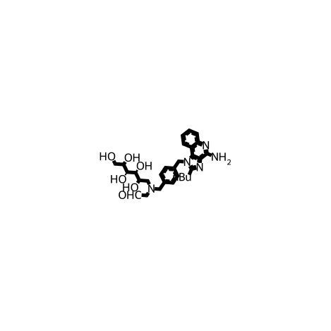 CCCCc1nc2c(N)nc3ccccc3c2n1Cc1ccc(CN(CC=O)CC(O)[C@H](O)[C@H](O)C(O)CO)cc1